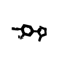 COc1ccc(C2=NOCN2C)cc1C(F)(F)F